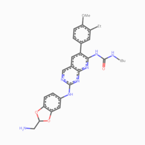 CCc1cc(-c2cc3cnc(Nc4ccc5c(c4)OC(CN)O5)nc3nc2NC(=O)NC(C)(C)C)ccc1OC